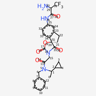 CC(C1CC1)N(Cc1ccccc1)C(=O)CN1C(=O)O[C@]2(CCc3cc(NC(=O)C(N)C(F)(F)F)ccc32)C1=O